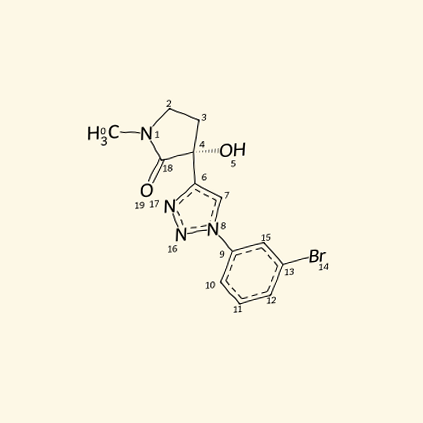 CN1CC[C@@](O)(c2cn(-c3cccc(Br)c3)nn2)C1=O